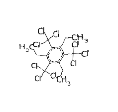 CCc1c(C(Cl)(Cl)Cl)c(CC)c(C(Cl)(Cl)Cl)c(CC)c1C(Cl)(Cl)Cl